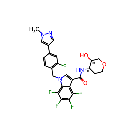 Cn1cc(-c2ccc(Cn3cc(C(=O)N[C@H]4CCOC[C@@H]4O)c4c(F)c(F)c(F)c(F)c43)c(F)c2)cn1